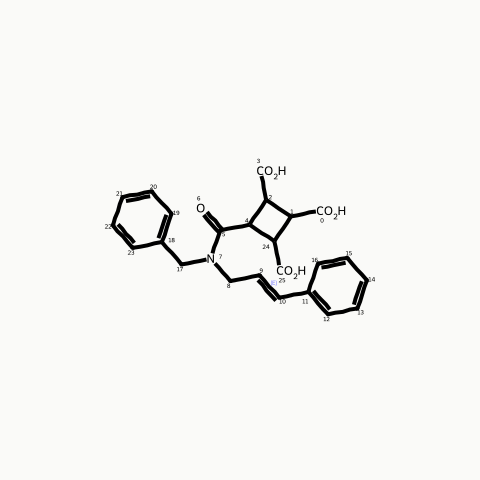 O=C(O)C1C(C(=O)O)C(C(=O)N(C/C=C/c2ccccc2)Cc2ccccc2)C1C(=O)O